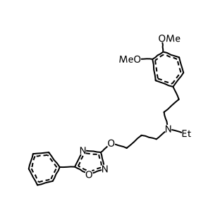 CCN(CCCOc1noc(-c2ccccc2)n1)CCc1ccc(OC)c(OC)c1